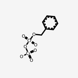 [O]=[Cr](=[O])([O-])[O][Cr](=[O])(=[O])[O]Cc1ccccc1